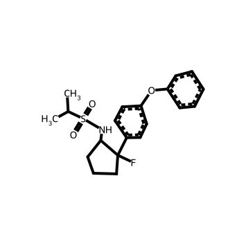 CC(C)S(=O)(=O)NC1CCCC1(F)c1ccc(Oc2ccccc2)cc1